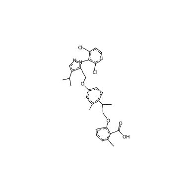 Cc1cc(OCc2c(C(C)C)cnn2-c2c(Cl)cccc2Cl)ccc1C(C)COc1cccc(C)c1C(=O)O